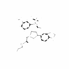 CCCNC(=O)CN1CC(c2ccc3c(c2)OCO3)[C@H](C(=O)O)[C@H]1c1ccc(OC)cc1NS(C)(=O)=O